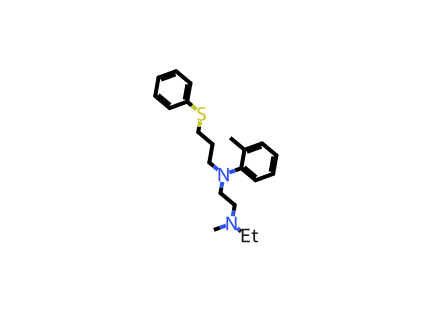 CCN(C)CCN(CCCSc1ccccc1)c1ccccc1C